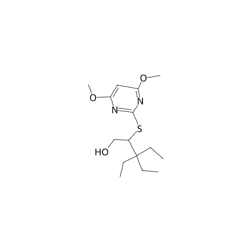 CCC(CC)(CC)C(CO)Sc1nc(OC)cc(OC)n1